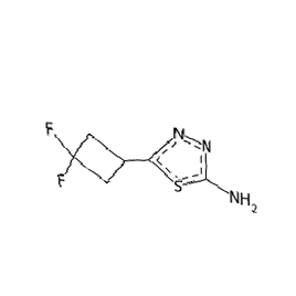 Nc1nnc(C2CC(F)(F)C2)s1